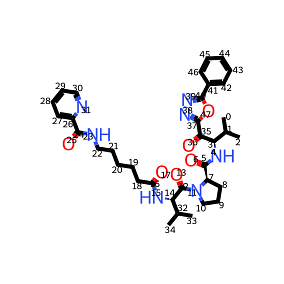 CC(C)[C@H](NC(=O)[C@H]1CCCN1C(=O)[C@@H](NC(=O)CCCCCNC(=O)c1ccccn1)C(C)C)C(=O)c1nnc(-c2ccccc2)o1